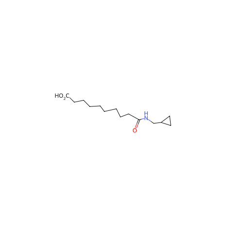 O=C(O)CCCCCCCCC(=O)NCC1CC1